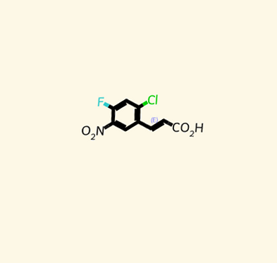 O=C(O)/C=C/c1cc([N+](=O)[O-])c(F)cc1Cl